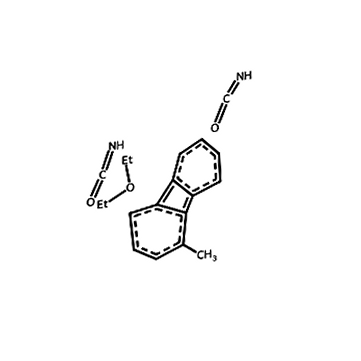 CCOCC.Cc1cccc2c1=c1ccccc1=2.N=C=O.N=C=O